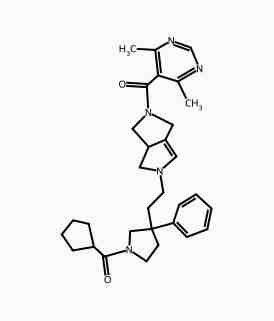 Cc1ncnc(C)c1C(=O)N1CC2=CN(CCC3(c4ccccc4)CCN(C(=O)C4CCCC4)C3)CC2C1